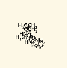 CC(C)(CC(=O)N[C@@H]1CSc2ccccc2NC1=O)NC(=O)OC(C)(C)C